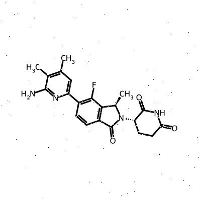 Cc1cc(-c2ccc3c(c2F)[C@@H](C)N([C@H]2CCC(=O)NC2=O)C3=O)nc(N)c1C